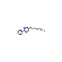 CCCCCCc1cnc(-c2cc[c]cc2)nc1